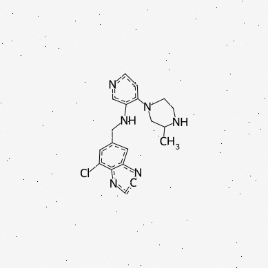 CC1CN(c2ccncc2NCc2cc(Cl)c3nccnc3c2)CCN1